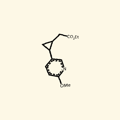 CCOC(=O)CC1CC1c1ccc(OC)nc1